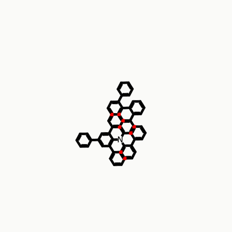 c1ccc(-c2cc(-c3ccccc3)c(N(c3ccc(-c4ccccc4-c4ccccc4-c4ccccc4)cc3)c3ccccc3-c3ccccc3)c(-c3ccccc3)c2)cc1